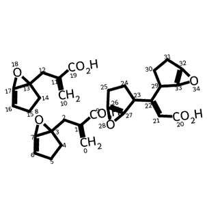 C=C(CC12CCC=C1O2)C(=O)O.C=C(CC12CCC=C1O2)C(=O)O.O=C(O)C=C(C1CCC2=C1O2)C1CCC2=C1O2